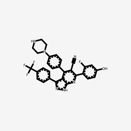 N#Cc1c(-c2ccc(O)cc2F)nc2[nH]nc(-c3ccc(C(F)(F)F)cc3)c2c1-c1ccc(N2CCNCC2)cc1